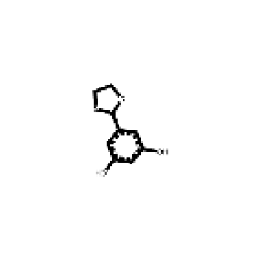 Oc1cc(O)cc(C2SCCS2)c1